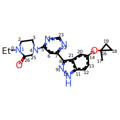 CCN1CCN(c2cc(-c3n[nH]c4ccc(OC5(C)CC5)cc34)ncn2)CC1=O